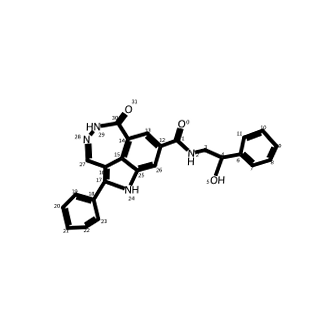 O=C(NCC(O)c1ccccc1)c1cc2c3c(c(-c4ccccc4)[nH]c3c1)C=NNC2=O